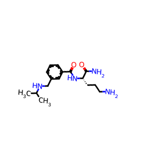 CC(C)NCc1cccc(C(=O)N[C@@H](CCCN)C(N)=O)c1